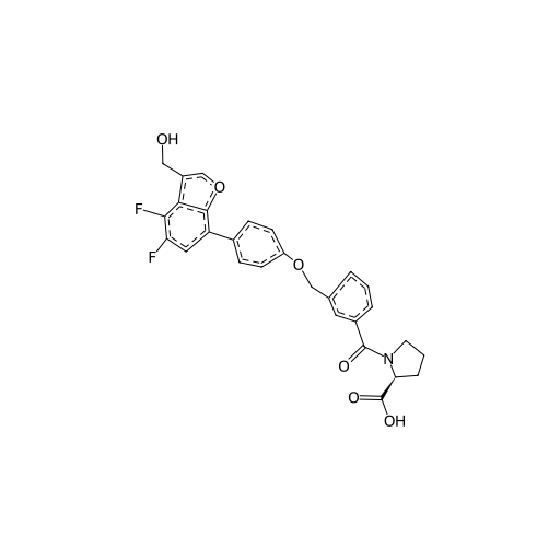 O=C(O)[C@@H]1CCCN1C(=O)c1cccc(COc2ccc(-c3cc(F)c(F)c4c(CO)coc34)cc2)c1